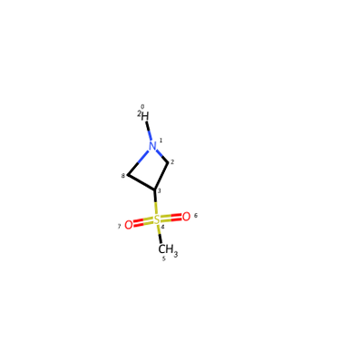 [2H]N1CC(S(C)(=O)=O)C1